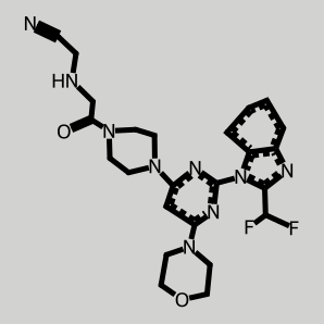 N#CCNCC(=O)N1CCN(c2cc(N3CCOCC3)nc(-n3c(C(F)F)nc4ccccc43)n2)CC1